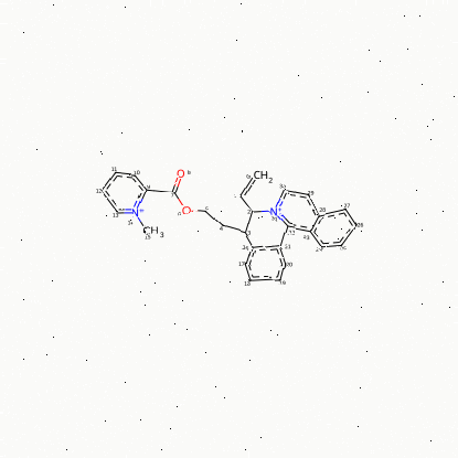 C=CC1C(CCOC(=O)c2cccc[n+]2C)c2ccccc2-c2c3ccccc3cc[n+]21